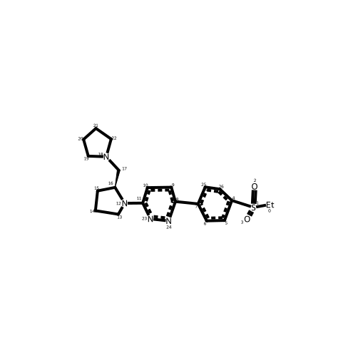 CCS(=O)(=O)c1ccc(-c2ccc(N3CCC[C@H]3CN3CCCC3)nn2)cc1